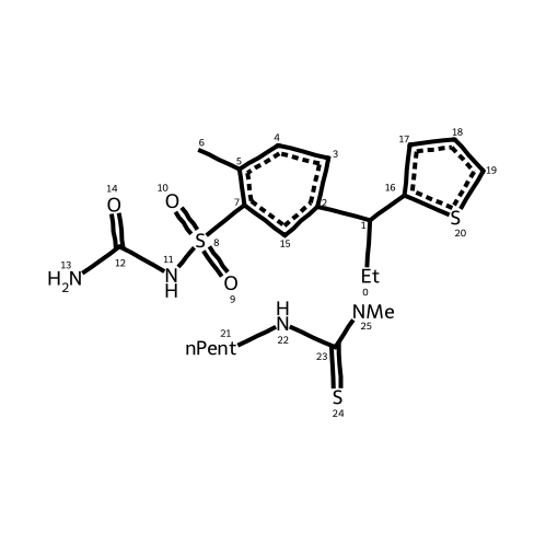 CCC(c1ccc(C)c(S(=O)(=O)NC(N)=O)c1)c1cccs1.CCCCCNC(=S)NC